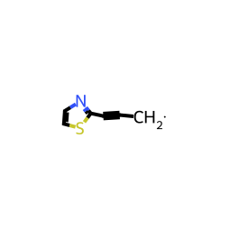 [CH2]C#Cc1nccs1